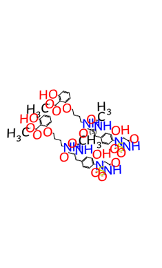 COC(=O)c1c(O)cccc1OCCCCNC(=O)C(Cc1ccc(N2CC(=O)NS2(=O)=O)c(O)c1)NC(C)=O.COC(=O)c1c(O)cccc1OCCCCNC(=O)[C@H](Cc1ccc(N2CC(=O)NS2(=O)=O)c(O)c1)NC(C)=O